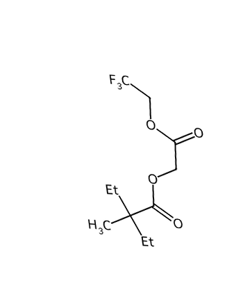 CCC(C)(CC)C(=O)OCC(=O)OCC(F)(F)F